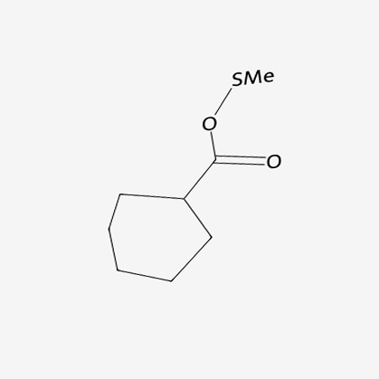 CSOC(=O)C1CCCCC1